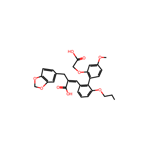 CCCOc1cccc(C=C(Cc2ccc3c(c2)OCO3)C(=O)O)c1-c1ccc(OC)cc1OCC(=O)O